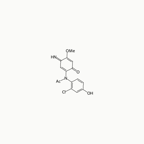 COC1=CC(=O)C(N(C(C)=O)c2ccc(O)cc2Cl)=CC1=N